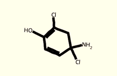 NC1(Cl)C=CC(O)=C(Cl)C1